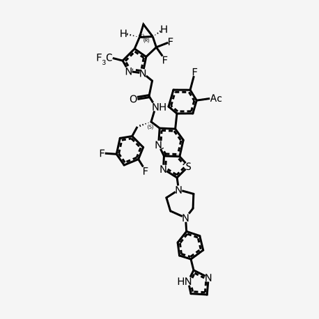 CC(=O)c1cc(-c2cc3sc(N4CCN(c5ccc(-c6ncc[nH]6)cc5)CC4)nc3nc2[C@H](Cc2cc(F)cc(F)c2)NC(=O)Cn2nc(C(F)(F)F)c3c2C(F)(F)[C@@H]2C[C@H]32)ccc1F